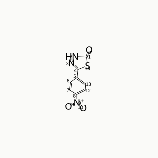 O=c1[nH]nc(-c2ccc([N+](=O)[O-])cc2)s1